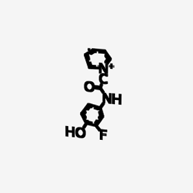 O=C(C[n+]1cc[c]cc1)Nc1ccc(O)c(F)c1